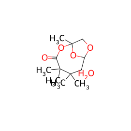 CC12COC(CC(C)(C)C(C)(C)C(=O)O1)O2.O